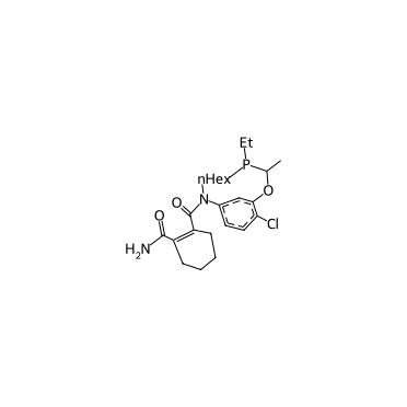 CCCCCCN(C(=O)C1=C(C(N)=O)CCCC1)c1ccc(Cl)c(OC(C)P(C)CC)c1